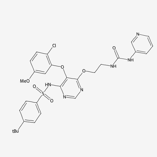 COc1ccc(Cl)c(Oc2c(NS(=O)(=O)c3ccc(C(C)(C)C)cc3)ncnc2OCCNC(=O)Nc2cccnc2)c1